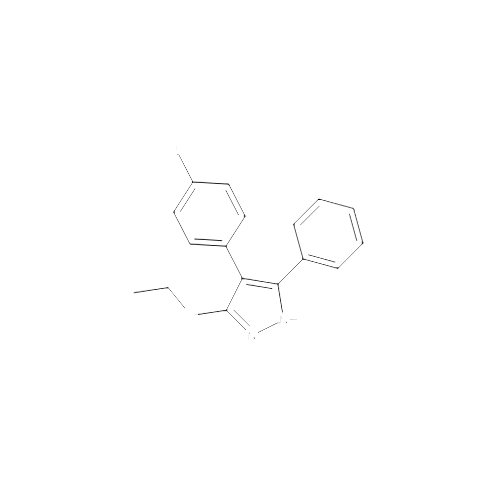 CCOc1n[nH]c(-c2ccccc2)c1-c1ccc(Cl)cc1